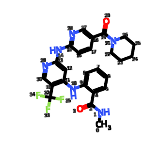 CNC(=O)c1ccccc1Nc1cc(Nc2ccc(C(=O)N3CCCCC3)cn2)ncc1C(F)(F)F